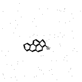 Brc1ccc2ccc3c4ccccc4cc4ccc1c2c43